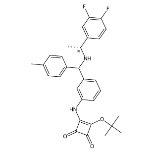 Cc1ccc(C(N[C@H](C)c2ccc(F)c(F)c2)c2cccc(Nc3c(OC(C)(C)C)c(=O)c3=O)c2)cc1